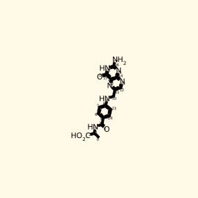 CC(NC(=O)c1ccc(NCc2cnc3nc(N)[nH]c(=O)c3n2)cc1)C(=O)O